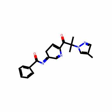 Cc1cnn(C(C)(C)C(=O)C2=CCC(=NC(=O)c3ccccc3)C=N2)c1